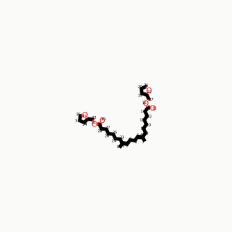 CC(=CCCC=C(C)CCCCCCC(=O)OCC1CCCO1)CCCCCCC(=O)OCC1CCCO1